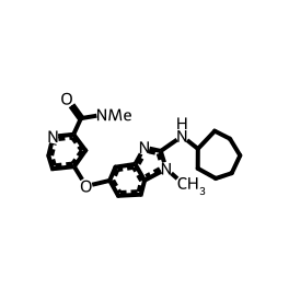 CNC(=O)c1cc(Oc2ccc3c(c2)nc(NC2CCCCCC2)n3C)ccn1